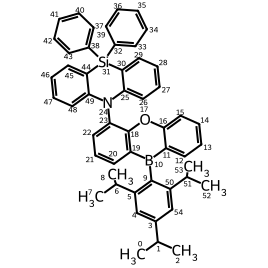 CC(C)c1cc(C(C)C)c(B2c3ccccc3Oc3c2cccc3N2c3ccccc3[Si](c3ccccc3)(c3ccccc3)c3ccccc32)c(C(C)C)c1